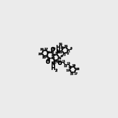 Cc1cc(C)c(Nc2cc(OCCCc3ccccc3)c(N)c3c2C(=O)c2ccccc2C3=O)c(C)c1